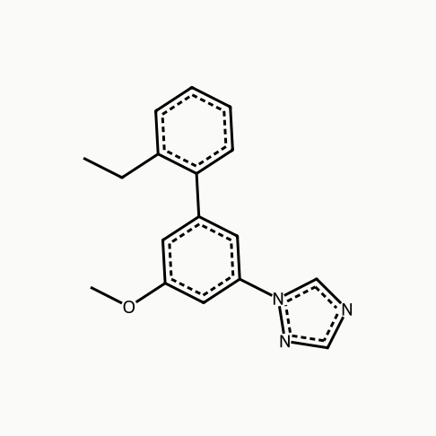 CCc1ccccc1-c1cc(OC)cc(-n2cncn2)c1